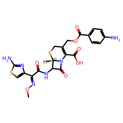 CON=C(C(=O)NC1C(=O)N2C(C(=O)O)=C(COC(=O)c3ccc(N)cc3)CS[C@@H]12)c1csc(N)n1